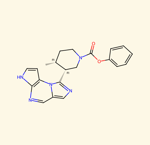 C[C@@H]1CCN(C(=O)Oc2ccccc2)C[C@@H]1c1ncc2cnc3[nH]ccc3n12